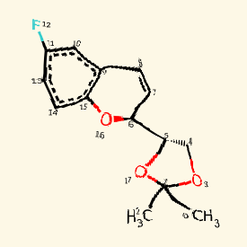 CC1(C)OC[C@@H]([C@@H]2C=Cc3cc(F)ccc3O2)O1